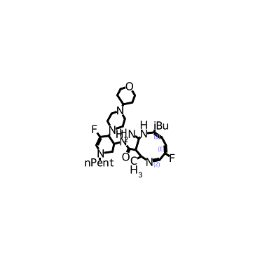 CCCCCN1C=C(F)C(N2CCN(C3CCOCC3)CC2)C(NC(=O)C2C(C)\N=C/C(F)=C\C=C(\C(C)CC)NC2N)C1